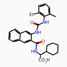 CCc1cccc(C)c1NC(=O)Nc1cc2ccccc2cc1C(=O)N[C@H](C(=O)O)C1CCCCC1